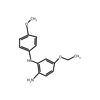 CCOc1ccc(N)c(Nc2ccc(OC)cc2)c1